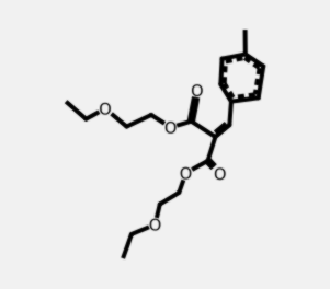 CCOCCOC(=O)C(=Cc1ccc(C)cc1)C(=O)OCCOCC